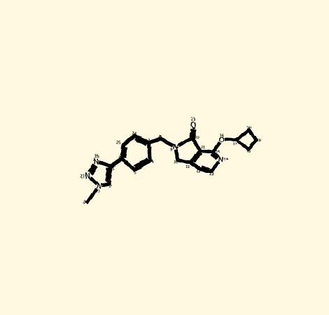 Cn1cc(-c2ccc(CN3Cc4ccnc(OC5CCC5)c4C3=O)cc2)nn1